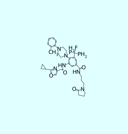 Cc1ccccc1N1CCN(c2c(NC(=O)c3coc(C4CC4)n3)cc(C(=O)NCCCN3CCCC3=O)cc2C(F)(P)P)CC1